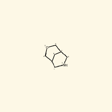 C1NCC2COCC1C2